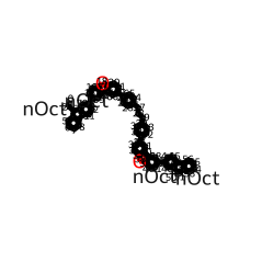 CCCCCCCCC(CCCCCCCC)C1c2ccccc2-c2ccc(-c3ccc4oc5ccc(-c6ccc(CCCc7ccc(-c8ccc9oc%10ccc(-c%11ccc%12c(c%11)C(CCCCCCCC)(CCCCCCCC)c%11ccccc%11-%12)cc%10c9c8)cc7)cc6)cc5c4c3)cc21